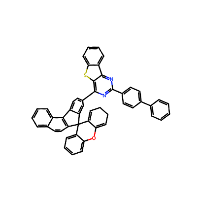 C1=C2Oc3ccccc3C3(C2=CCC1)c1cc(-c2nc(-c4ccc(-c5ccccc5)cc4)nc4c2sc2ccccc24)ccc1-c1c3ccc2ccccc12